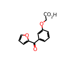 O=C(O)COc1cccc(C(=O)c2ccco2)c1